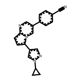 N#Cc1ccc(-c2cnc3ccc(-c4cnn(C5CC5)c4)n3c2)cc1